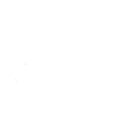 CCCCCCCSCC(O)Cn1ccnc1